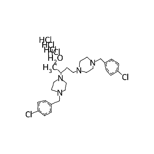 CC(CCN1CCN(Cc2ccc(Cl)cc2)CC1)N1CCN(Cc2ccc(Cl)cc2)CC1.Cl.Cl.Cl.Cl.O